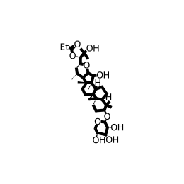 CCC(=O)O[C@@H]([C@H]1C[C@@H](C)C2C(O1)C(O)[C@@]1(C)[C@@H]3CC[C@H]4C(C)(C)[C@@H](O[C@@H]5OC[C@@H](O)[C@H](O)[C@H]5O)CC[C@@]45C[C@@]35CC[C@]21C)C(C)(C)O